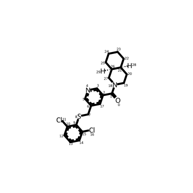 O=C(c1cncc(CSc2c(Cl)cccc2Cl)c1)N1CC[C@@H]2CCCC[C@@H]2C1